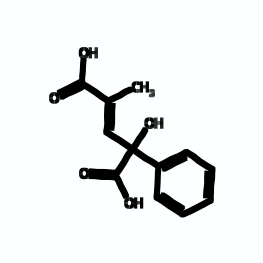 CC(=CC(O)(C(=O)O)c1ccccc1)C(=O)O